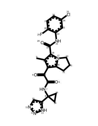 Cc1c(C(=O)C(=O)NC2(c3cnn[nH]3)CC2)c2n(c1C(=O)Nc1cc(Cl)ccc1F)CCC2